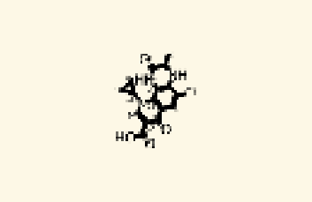 CC1Nc2c(F)cc3c(=O)c(C(=O)O)cn(C4CC4)c3c2NC1=O